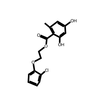 Cc1cc(O)cc(O)c1C(=O)OCCOc1ccccc1Cl